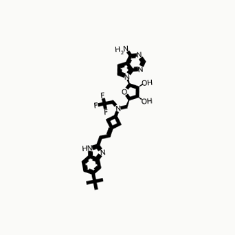 CC(C)(C)c1ccc2[nH]c(CC=C3CC(N(C[C@H]4O[C@@H](n5ccc6c(N)ncnc65)[C@H](O)[C@@H]4O)CC(F)(F)F)C3)nc2c1